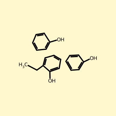 CCc1ccccc1O.Oc1ccccc1.Oc1ccccc1